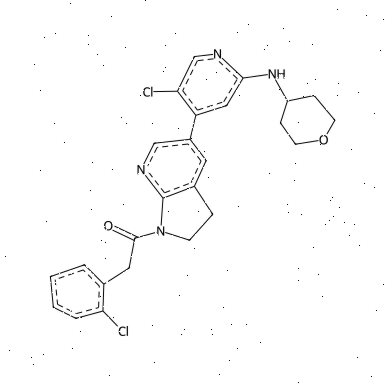 O=C(Cc1ccccc1Cl)N1CCc2cc(-c3cc(NC4CCOCC4)ncc3Cl)cnc21